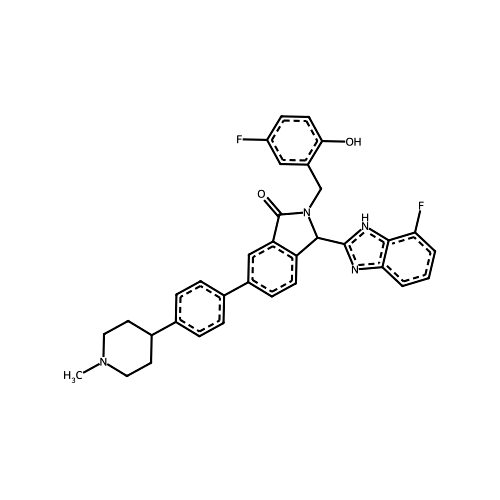 CN1CCC(c2ccc(-c3ccc4c(c3)C(=O)N(Cc3cc(F)ccc3O)C4c3nc4cccc(F)c4[nH]3)cc2)CC1